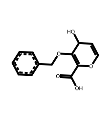 O=C(O)C1=C(OCc2ccccc2)C(O)C=CO1